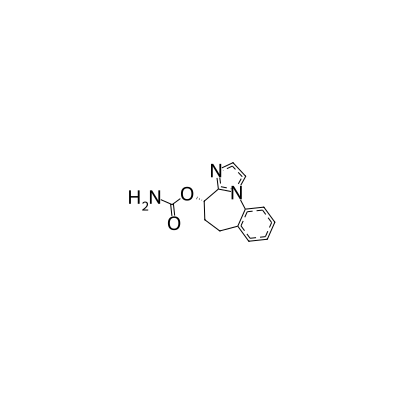 NC(=O)O[C@H]1CCc2ccccc2-n2ccnc21